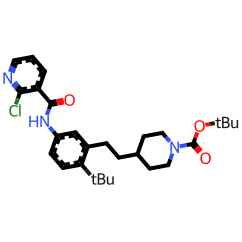 CC(C)(C)OC(=O)N1CCC(CCc2cc(NC(=O)c3cccnc3Cl)ccc2C(C)(C)C)CC1